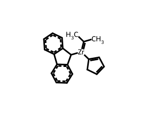 C[C](C)=[Zr]([C]1=CC=CC1)[CH]1c2ccccc2-c2ccccc21